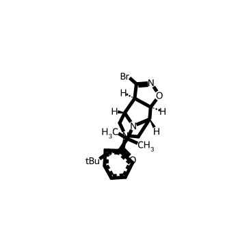 CC(C)(C)OC(=O)N1C[C@@H]2[C@H]3C(Br)=NO[C@H]3[C@H](C1)N2C(C)(C)c1ccccc1